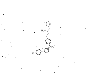 NC(COc1ccc(C(=O)N2CC[C@H](c3ccc(F)cc3)C2)cc1)Cn1ccnn1